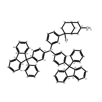 CCC1(c2cccc(N(c3ccc(C4(c5ccccc5)c5ccccc5-c5ccccc54)cc3)c3ccc(C4(c5ccccc5)c5ccccc5-c5ccccc54)cc3)c2)CCC2CC(C)CC1C2